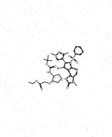 CCOC(=O)CO[C@@H]1C[C@@H](n2c(=O)n(C)c3cnc4c(c(Br)c(-c5cn(C)nc5F)n4S(=O)(=O)c4ccccc4)c32)C[C@@H]1NC(=O)OC(C)(C)C